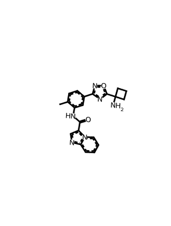 Cc1ccc(-c2noc(C3(N)CCC3)n2)cc1NC(=O)c1cnc2ccccn12